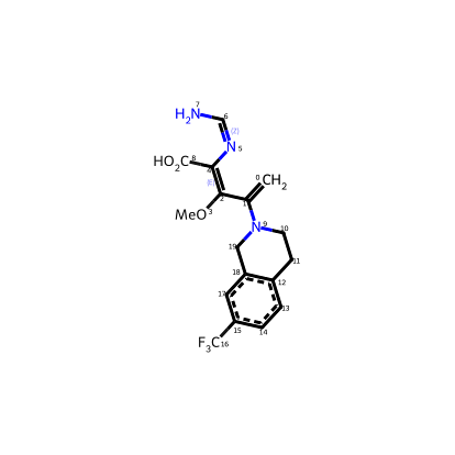 C=C(/C(OC)=C(\N=C/N)C(=O)O)N1CCc2ccc(C(F)(F)F)cc2C1